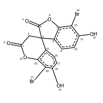 O=C1CC2(C(=O)Oc3c2ccc(O)c3Br)c2ccc(O)c(Br)c2O1